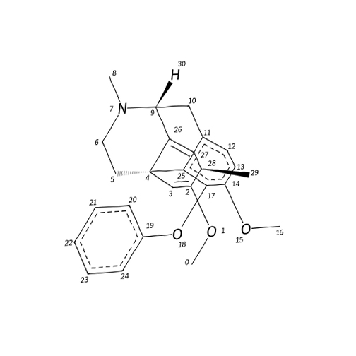 COC1=C[C@]23CCN(C)[C@H](Cc4ccc(OC)c(Oc5ccccc5)c42)C3=C[C@H]1C